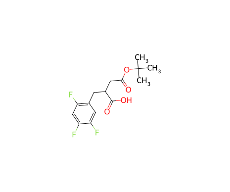 CC(C)(C)OC(=O)CC(Cc1cc(F)c(F)cc1F)C(=O)O